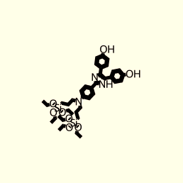 CCO[Si](CCCN(CCC[Si](OCC)(OCC)OCC)c1ccc(-c2nc(-c3ccc(O)cc3)c(-c3ccc(O)cc3)[nH]2)cc1)(OCC)OCC